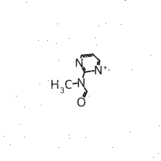 CN(C=O)C1=NC=CC=[N+]1